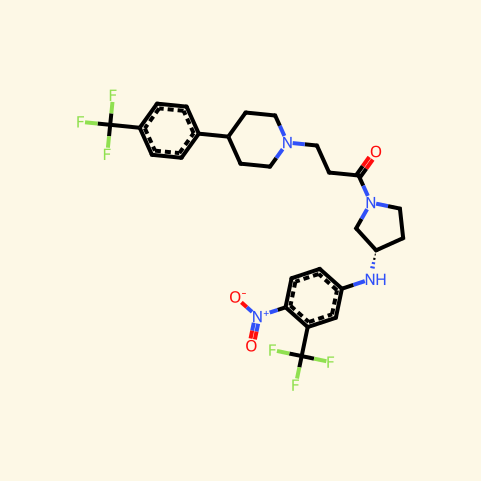 O=C(CCN1CCC(c2ccc(C(F)(F)F)cc2)CC1)N1CC[C@H](Nc2ccc([N+](=O)[O-])c(C(F)(F)F)c2)C1